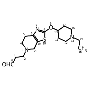 O=CCCN1CCc2nc(OC3CCN(CC(F)(F)F)CC3)sc2C1